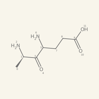 C[C@@H](N)C(=O)C(N)CCC(=O)O